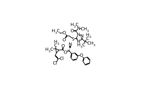 CC1(C)C(C=C(Cl)Cl)C1C(=O)O[C@H](C#N)c1cccc(Oc2ccccc2)c1.CCOC(=O)CSc1nc(C(C)(C)C)nn1C(=O)N(C)C